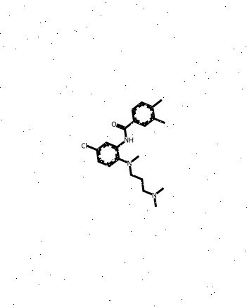 Cc1ccc(C(=O)Nc2cc(Cl)ccc2N(C)CCCN(C)C)cc1C